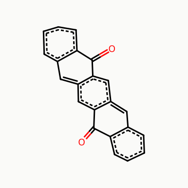 O=C1c2ccccc2C=c2cc3c(cc21)=Cc1ccccc1C3=O